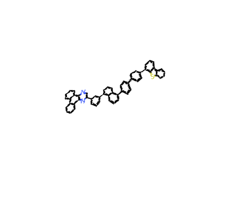 c1cc(-c2cnc3c4ccccc4c4ccccc4c3n2)cc(-c2cccc3c(-c4ccc(-c5ccc(-c6cccc7c6sc6ccccc67)cc5)cc4)cccc23)c1